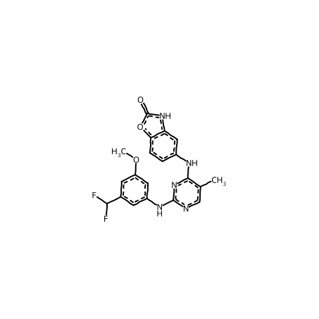 COc1cc(Nc2ncc(C)c(Nc3ccc4oc(=O)[nH]c4c3)n2)cc(C(F)F)c1